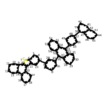 c1cc(-c2ccc3sc4c5ccccc5c5ccccc5c4c3c2)cc(-c2c3ccccc3c(-c3ccc(-c4cccc5ccccc45)cc3)c3ccccc23)c1